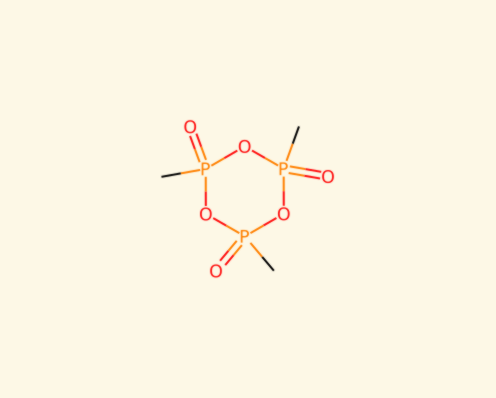 CP1(=O)OP(C)(=O)OP(C)(=O)O1